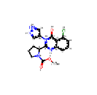 CC(C)(C)OC(=O)N1CCCC1c1nc2cccc(Cl)c2c(=O)n1-c1cn[nH]c1